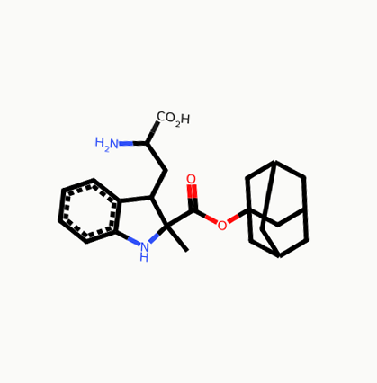 CC1(C(=O)OC23CC4CC(CC(C4)C2)C3)Nc2ccccc2C1CC(N)C(=O)O